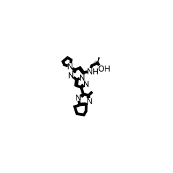 Cc1nc2c(nc1-c1cc3nc(N4CCCC4)cc(NC[C@@H](C)O)n3n1)CCCC2